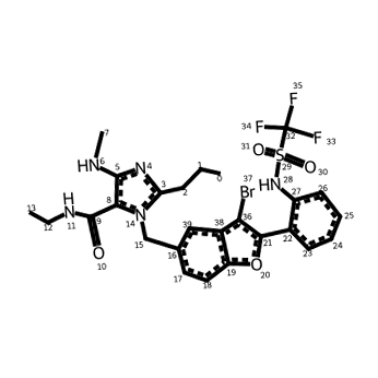 CCCc1nc(NC)c(C(=O)NCC)n1Cc1ccc2oc(-c3ccccc3NS(=O)(=O)C(F)(F)F)c(Br)c2c1